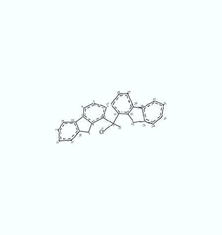 CC(Cl)(c1cccc2c1Cc1ccccc1-2)c1cccc2c1Cc1ccccc1-2